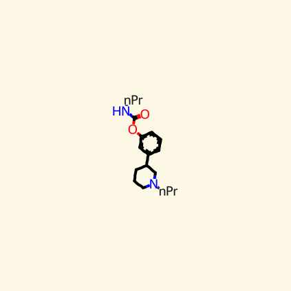 CCCNC(=O)Oc1cccc(C2CCCN(CCC)C2)c1